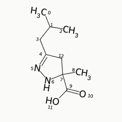 CC(C)CC1=NNC(C)(C(=O)O)C1